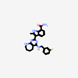 Cc1[nH]c2c(C(N)=O)cccc2c1-c1nc2c(c(NCc3cccc(F)c3)n1)CCCCN2